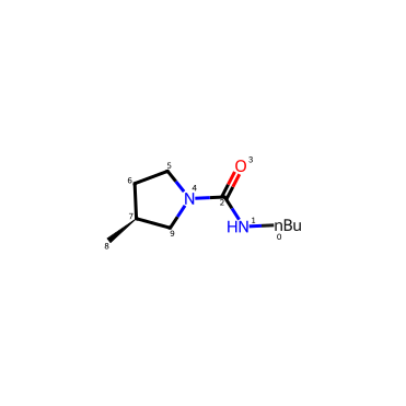 CCCCNC(=O)N1CC[C@H](C)C1